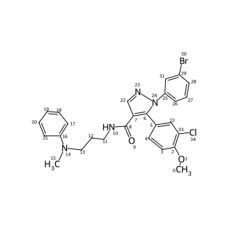 COc1ccc(-c2c(C(=O)NCCCN(C)c3ccccc3)cnn2-c2cccc(Br)c2)cc1Cl